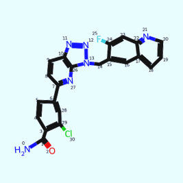 NC(=O)c1ccc(-c2ccc3nnn(Cc4cc5cccnc5cc4F)c3n2)cc1Cl